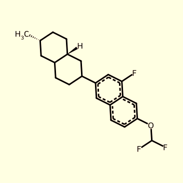 C[C@@H]1CC[C@@H]2CC(c3cc(F)c4cc(OC(F)F)ccc4c3)CCC2C1